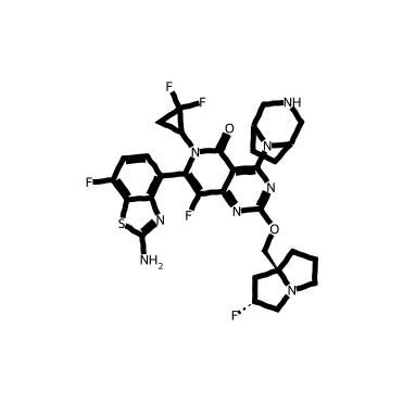 Nc1nc2c(-c3c(F)c4nc(OC[C@@]56CCCN5C[C@H](F)C6)nc(N5C6CCC5CNC6)c4c(=O)n3C3CC3(F)F)ccc(F)c2s1